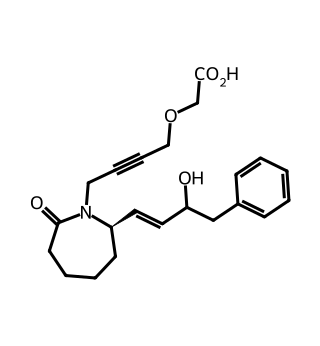 O=C(O)COCC#CCN1C(=O)CCCC[C@@H]1/C=C/C(O)Cc1ccccc1